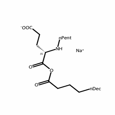 CCCCCCCCCCCCCC(=O)OC(=O)[C@H](CCC(=O)[O-])NCCCCC.[Na+]